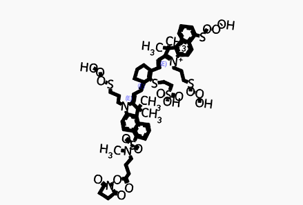 CN(CCCC(=O)ON1C(=O)CCC1=O)S(=O)(=O)c1cccc2c3c(ccc12)N(CCCSOOO)/C(=C/C=C1\CCCC(/C=C/C2=[N+](CCCSOOO)c4ccc5c(SOOO)cccc5c4C2(C)C)=C1SCCS(=O)(=O)O)C3(C)C